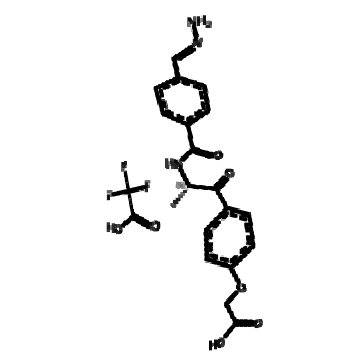 C[C@H](NC(=O)c1ccc(C=NN)cc1)C(=O)c1ccc(OCC(=O)O)cc1.O=C(O)C(F)(F)F